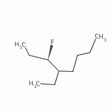 CCCCC(CC)[C@H](F)CC